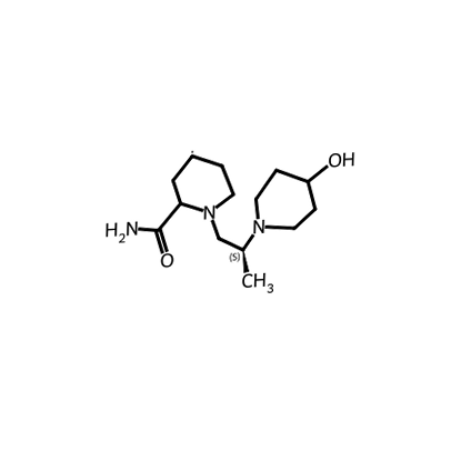 C[C@@H](CN1CC[CH]CC1C(N)=O)N1CCC(O)CC1